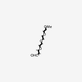 COCCOCCOCCOCC[C]=O